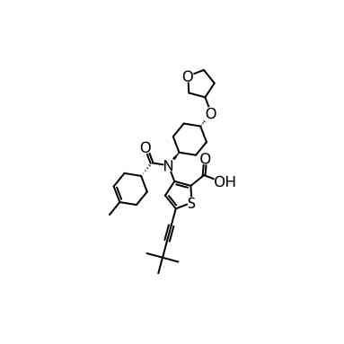 CC1=CC[C@H](C(=O)N(c2cc(C#CC(C)(C)C)sc2C(=O)O)[C@H]2CC[C@H](OC3CCOC3)CC2)CC1